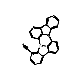 N#Cc1cccc2c1B1c3c-2cccc3-n2c3ccccc3c3cccc1c32